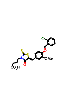 COc1cc(/C=C2\SC(=S)N(CCCC(=O)O)C2=O)ccc1OCc1ccccc1Cl